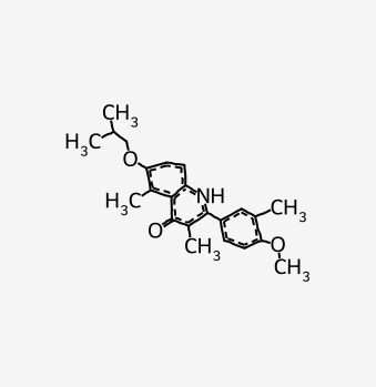 COc1ccc(-c2[nH]c3ccc(OCC(C)C)c(C)c3c(=O)c2C)cc1C